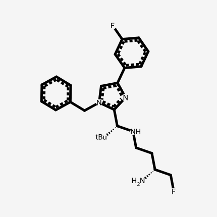 CC(C)(C)[C@@H](NCC[C@@H](N)CF)c1nc(-c2cccc(F)c2)cn1Cc1ccccc1